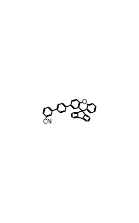 N#Cc1cccc(-c2ccc(-c3ccc4c(c3)C3(c5ccccc5O4)c4ccccc4-c4ccccc43)cc2)c1